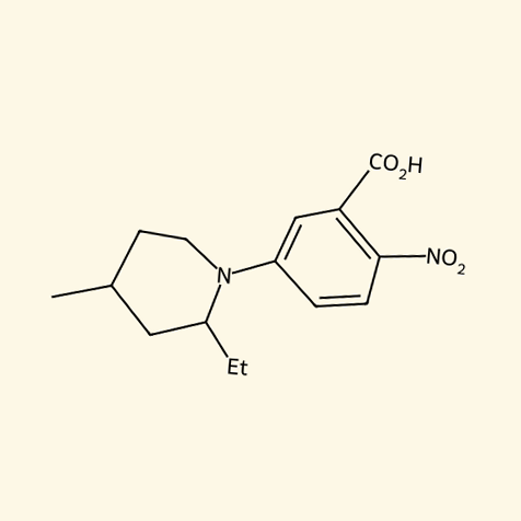 CCC1CC(C)CCN1c1ccc([N+](=O)[O-])c(C(=O)O)c1